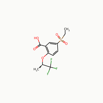 CCS(=O)(=O)c1ccc(O[C@H](C)C(F)(F)F)c(C(=O)O)c1